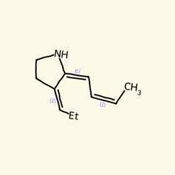 C\C=C/C=C1/NCC/C1=C/CC